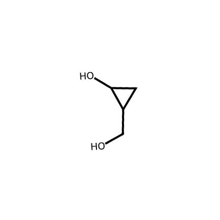 OCC1CC1O